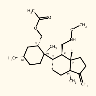 C=C1CC[C@H]2[C@H](CNOC)[C@@H]([C@@]3(C)CC[C@H](C)C[C@@H]3COC(C)=O)CC[C@]12C